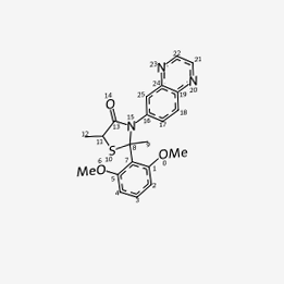 COc1cccc(OC)c1C1(C)SC(C)C(=O)N1c1ccc2nccnc2c1